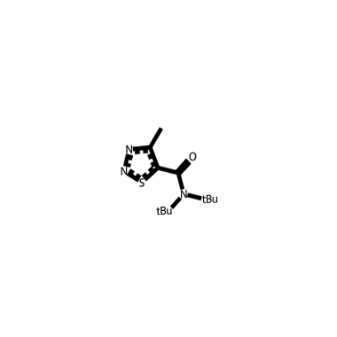 Cc1nnsc1C(=O)N(C(C)(C)C)C(C)(C)C